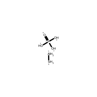 O=P(O)(O)O.[AlH2][SiH3]